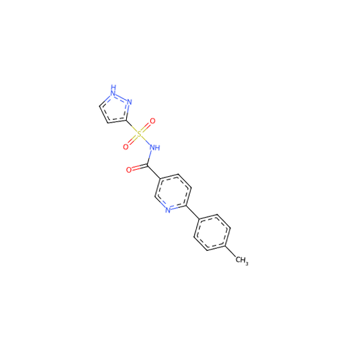 Cc1ccc(-c2ccc(C(=O)NS(=O)(=O)c3cc[nH]n3)cn2)cc1